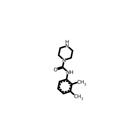 Cc1cccc(NC(=O)N2CCNCC2)c1C